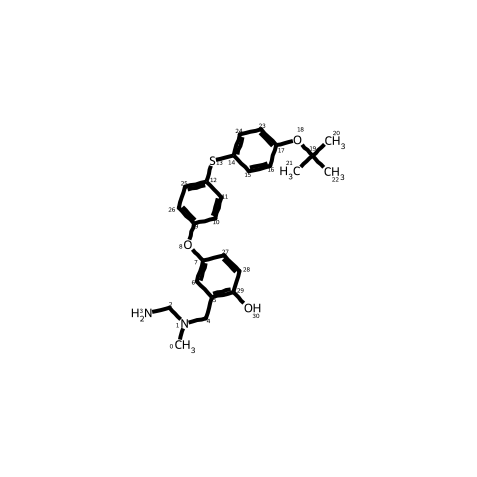 CN(CN)Cc1cc(Oc2ccc(Sc3ccc(OC(C)(C)C)cc3)cc2)ccc1O